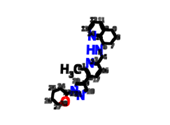 Cc1nc(CNC2CCCc3cccnc32)ccc1-c1cnn(C2CCCCO2)c1